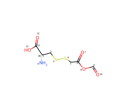 N[C@@H](CSSCC(=O)OC=O)C(=O)O